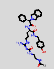 CCC(=O)NCCNC(=O)/N=C(/N)NCCC[C@@H](NC(=O)[C@@H](c1ccccc1)N1Cc2ccccc2C1)C(=O)NCc1ccc(O)cc1